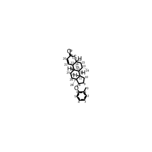 Cc1ccccc1O[C@H]1CC[C@H]2[C@@H]3[C@@H](C)C[C@H]4SC(=O)C=C[C@]4(C)[C@H]3CC[C@]12C